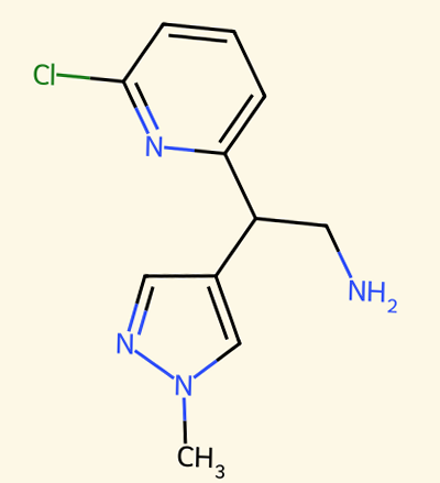 Cn1cc(C(CN)c2cccc(Cl)n2)cn1